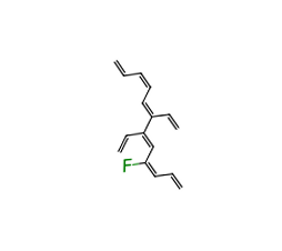 C=C\C=C/C=C(C=C)/C(C=C)=C/C(F)=C\C=C